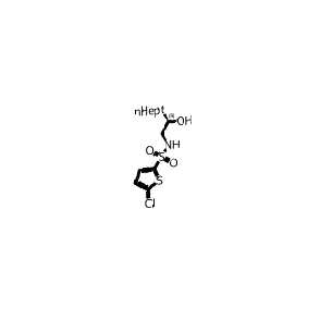 CCCCCCC[C@@H](O)CNS(=O)(=O)c1ccc(Cl)s1